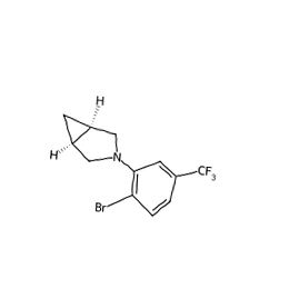 FC(F)(F)c1ccc(Br)c(N2C[C@H]3C[C@H]3C2)c1